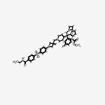 CCNC(=O)c1ccc(S(=O)(=O)c2ccc(N3CC(F)(CN4CCC([C@@](CN5CCC5)(c5cccc(F)c5)[C@H]5CCC[C@@H]5NC(=O)OC)CC4)C3)cc2)cc1